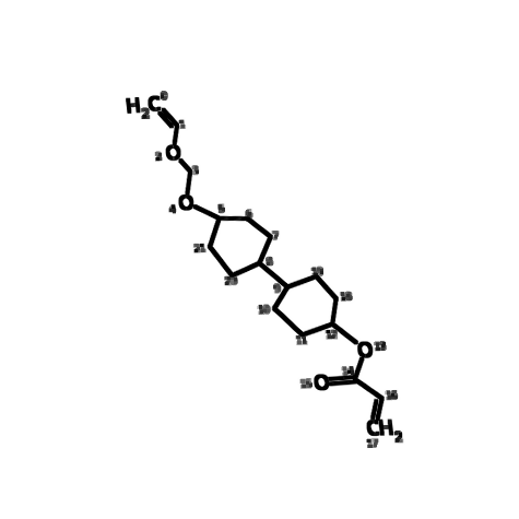 C=COCOC1CCC(C2CCC(OC(=O)C=C)CC2)CC1